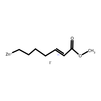 COC(=O)/C=C/CCC[CH2][Zn+].[I-]